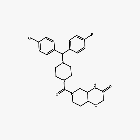 O=C1COC2CCN(C(=O)N3CCN(C(c4ccc(F)cc4)c4ccc(Cl)cc4)CC3)CC2N1